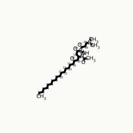 CCCCCCCCCCCCCCCCCC(=O)CC(CC(=O)P(O)C(=O)CCN(C)C)NC(C)=O